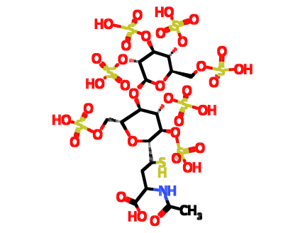 CC(=O)NC(CC(S)[C@@H]1O[C@H](COS(=O)(=O)O)[C@@H](O[C@@H]2O[C@H](COS(=O)(=O)O)[C@@H](OS(=O)(=O)O)[C@H](OS(=O)(=O)O)[C@H]2OS(=O)(=O)O)[C@H](OS(=O)(=O)O)[C@H]1OS(=O)(=O)O)C(=O)O